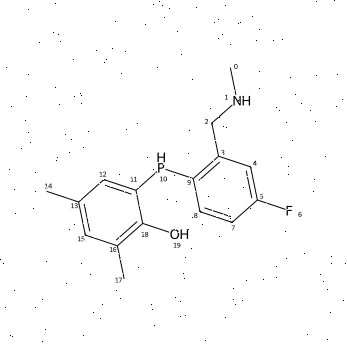 CNCc1cc(F)ccc1Pc1cc(C)cc(C)c1O